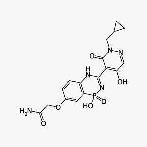 NC(=O)COc1ccc2c(c1)P(=O)(O)N=C(c1c(O)cnn(CC3CC3)c1=O)N2